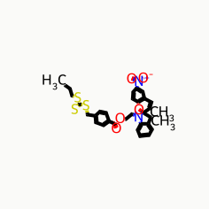 CCCCSC(=S)SCc1ccc(C(=O)OCCN2c3ccccc3C(C)(C)C23C=Cc2cc([N+](=O)[O-])ccc2O3)cc1